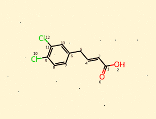 O=C(O)C=CCc1ccc(Cl)c(Cl)c1